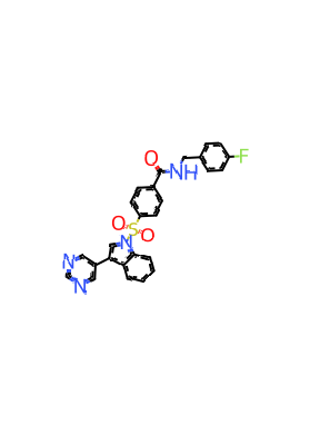 O=C(NCc1ccc(F)cc1)c1ccc(S(=O)(=O)n2cc(-c3cncnc3)c3ccccc32)cc1